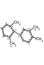 Cc1ccc(-c2c(C)c[c]cc2C)cc1C